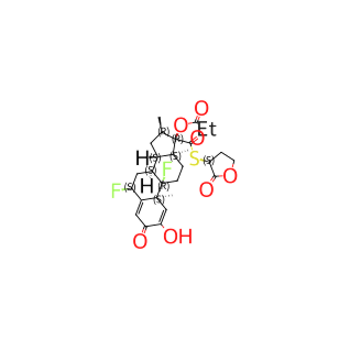 CCC(=O)O[C@]1(C(=O)S[C@H]2CCOC2=O)[C@H](C)C[C@H]2[C@@H]3C[C@H](F)C4=CC(=O)C(O)=C[C@]4(C)[C@@]3(F)CC[C@@]21C